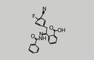 N#Cc1cc(CC(=NNC(=O)c2ccccc2)c2ccccc2C(=O)O)ccc1F